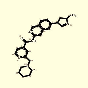 CC1CC(c2ccc3cnc(NC(=O)c4ccnc(CN5CCCCC5)c4)cc3c2)C=N1